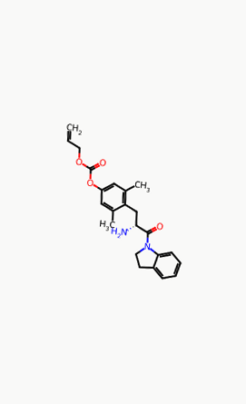 C=CCOC(=O)Oc1cc(C)c(C[C@@H](N)C(=O)N2CCc3ccccc32)c(C)c1